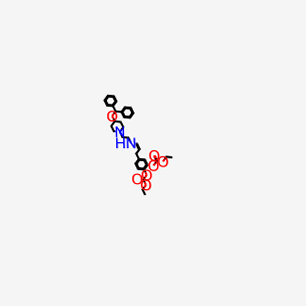 CCOC(=O)Oc1ccc(C/C=C\NCCN2CCC(OC(c3ccccc3)c3ccccc3)CC2)cc1OC(=O)OCC